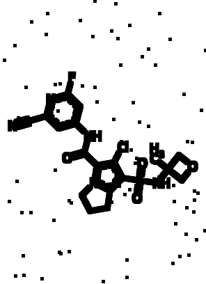 CC1(NS(=O)(=O)c2c(Cl)c(C(=O)Nc3cc(F)nc(C#N)c3)n3c2CCC3)COC1